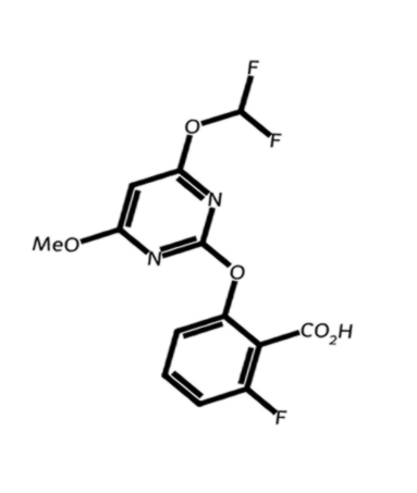 COc1cc(OC(F)F)nc(Oc2cccc(F)c2C(=O)O)n1